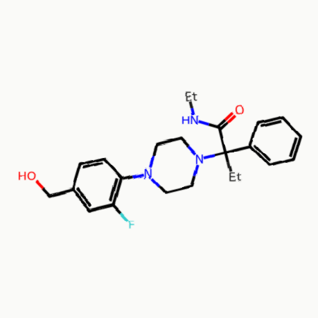 CCNC(=O)C(CC)(c1ccccc1)N1CCN(c2ccc(CO)cc2F)CC1